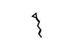 CC=CCC=C1CC1